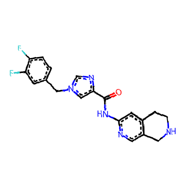 O=C(Nc1cc2c(cn1)CNCC2)c1cn(Cc2ccc(F)c(F)c2)cn1